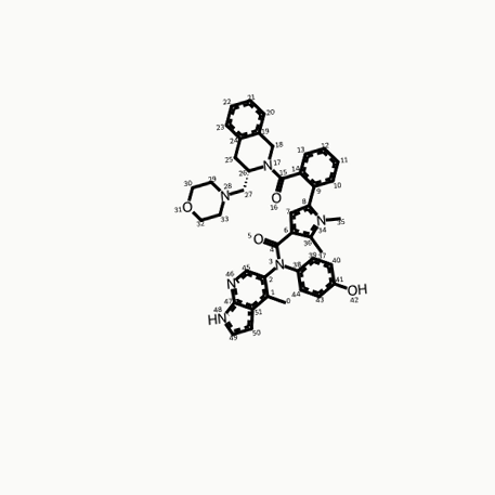 Cc1c(N(C(=O)c2cc(-c3ccccc3C(=O)N3Cc4ccccc4C[C@H]3CN3CCOCC3)n(C)c2C)c2ccc(O)cc2)cnc2[nH]ccc12